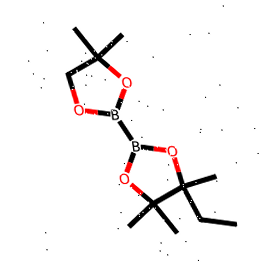 CCC1(C)OB(B2OCC(C)(C)O2)OC1(C)C